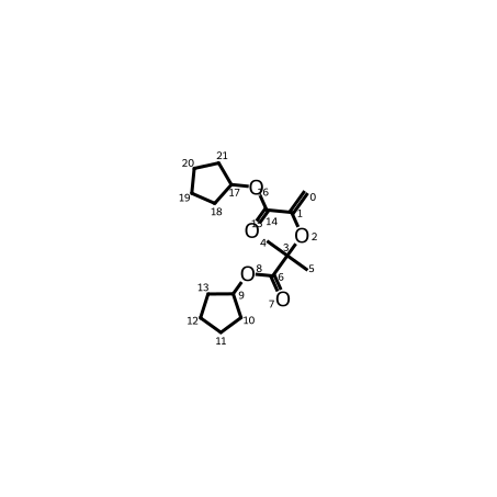 C=C(OC(C)(C)C(=O)OC1CCCC1)C(=O)OC1CCCC1